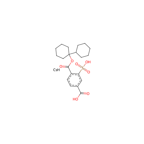 O=C(O)c1ccc(C(=O)OC2(C3CCCCC3)CCCCC2)c(S(=O)(=O)O)c1.[CsH]